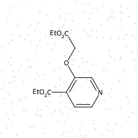 CCOC(=O)COc1cnccc1C(=O)OCC